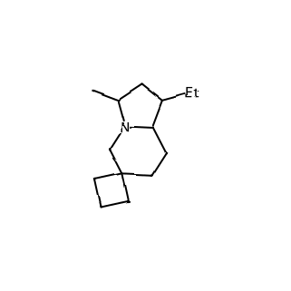 CCC1CC(C)N2CC3(CCC3)CCC12